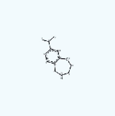 CC(C)c1ccc2c(n1)OCCNC2